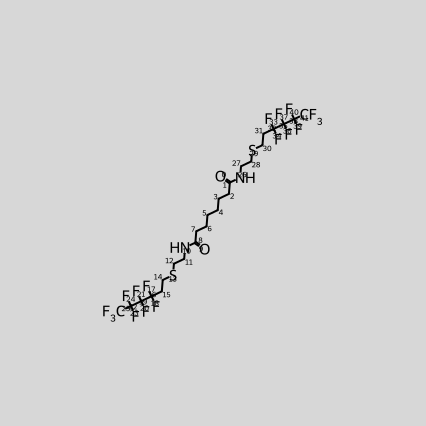 O=C(CCCCCCC(=O)NCCSCCC(F)(F)C(F)(F)C(F)(F)C(F)(F)F)NCCSCCC(F)(F)C(F)(F)C(F)(F)C(F)(F)F